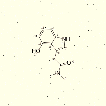 CN(C)C(=O)Cc1c[nH]c2cccc(O)c12